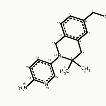 CC1(C)Cc2cc(CO)ccc2CN1c1ccc(N)nc1